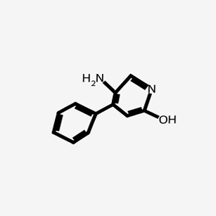 Nc1cnc(O)cc1-c1ccccc1